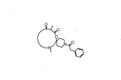 CC1C(=O)CCCCCCN(C)CC2(CCN(C(=O)Cc3ccccc3)CC2)OC1=O